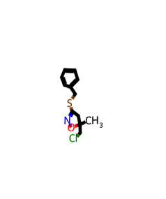 CC1(CCl)CC(SCc2ccccc2)=NO1